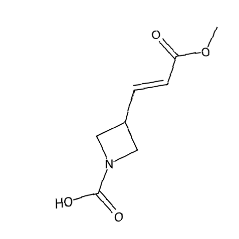 COC(=O)C=CC1CN(C(=O)O)C1